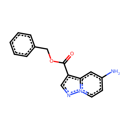 Nc1ccn2ncc(C(=O)OCc3ccccc3)c2c1